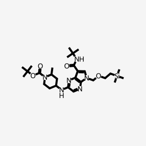 CC1CC(Nc2cnc3c(n2)c(C(=O)NC(C)(C)C)cn3COCC[Si](C)(C)C)CCN1C(=O)OC(C)(C)C